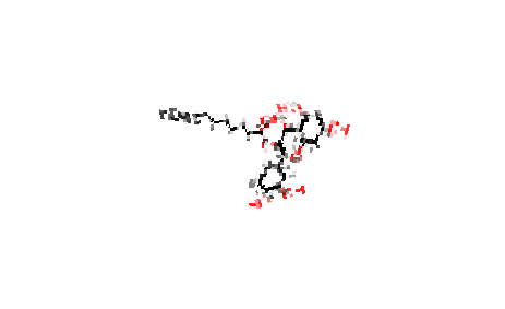 CCCCCCCCCCCCCCCCC(=O)Oc1c(-c2ccc(O)c(O)c2)oc2cc(O)cc(O)c2c1=O